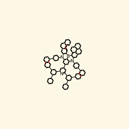 c1ccc(-c2ccc(N3c4cc(-c5cc(-c6cc(-c7ccccc7)cc(-c7ccccc7)c6)nc(-c6cc(-c7ccccc7)cc(-c7ccccc7)c6)c5)cc5c4B(c4c3cc3ccc6cccc7ccc4c3c67)c3c(cc4ccc6cccc7ccc3c4c67)N5c3ccc(-c4ccccc4)cc3)cc2)cc1